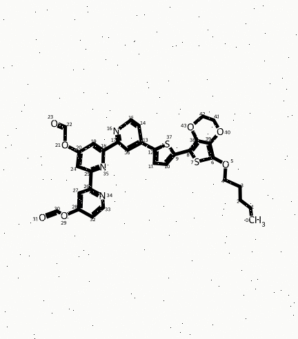 CCCCCOc1sc(-c2ccc(-c3ccnc(-c4cc(OC=O)cc(-c5cc(OC=O)ccn5)n4)c3)s2)c2c1OCCO2